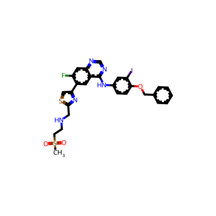 CS(=O)(=O)CCNCc1nc(-c2cc3c(Nc4ccc(OCc5ccccc5)c(I)c4)ncnc3cc2F)cs1